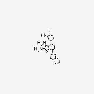 Nc1sc2c(-c3ccc4ccccc4c3)ccc(-c3ccc(F)c(Cl)c3)c2c1N